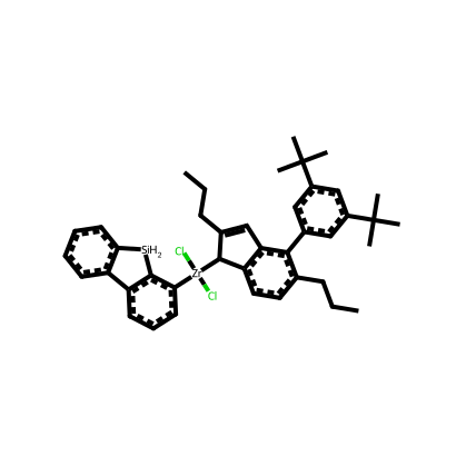 CCCC1=Cc2c(ccc(CCC)c2-c2cc(C(C)(C)C)cc(C(C)(C)C)c2)[CH]1[Zr]([Cl])([Cl])[c]1cccc2c1[SiH2]c1ccccc1-2